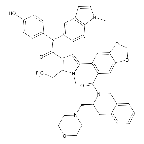 Cn1c(-c2cc3c(cc2C(=O)N2Cc4ccccc4C[C@H]2CN2CCOCC2)OCO3)cc(C(=O)N(c2ccc(O)cc2)c2cnc3c(ccn3C)c2)c1CC(F)(F)F